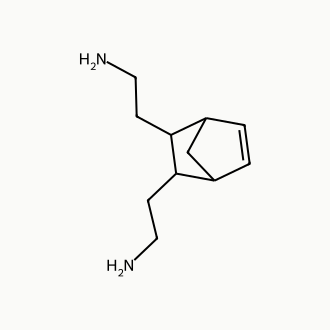 NCCC1C2C=CC(C2)C1CCN